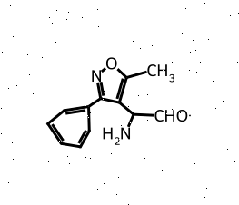 Cc1onc(-c2ccccc2)c1C(N)[C]=O